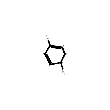 FC1=CCC(F)C=C1